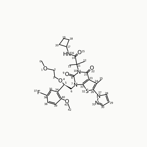 COCCO[C@@H](Cn1c(=O)n(C(C)(C)C(=O)NC2CCC2)c(=O)c2c(C)c(-n3cccn3)sc21)c1cc(F)ccc1OC